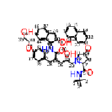 CC(C)(C)NC(=O)C1C[C@H](Oc2ccc3ccccc3c2)CN1C[C@@H](O)C[C@@H](Cc1ccc(OCCO)cc1)C(=O)N[C@H]1c2ccccc2C[C@H]1O